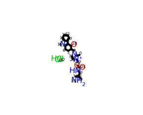 Cc1n(CC2CCc3c(c4ccccc4n3C)C2=O)cc[n+]1COC(=O)NCC(C)CN.Cl.[Cl-]